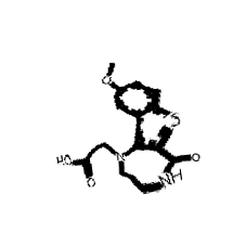 COc1ccc2sc3c(c2c1)N(CC(=O)O)CCNC3=O